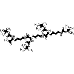 CC(C)(C)OC(=O)NCCCC[C@H](NC(=O)OC(C)(C)C)C(=O)NCCCC[C@H](NC(=O)OC(C)(C)C)C(=O)NCCCC[C@H](NC(=O)OC(C)(C)C)C(=O)O